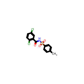 Cc1ccc(S(=O)(=O)NC(=O)c2cc(Cl)ccc2Cl)cc1